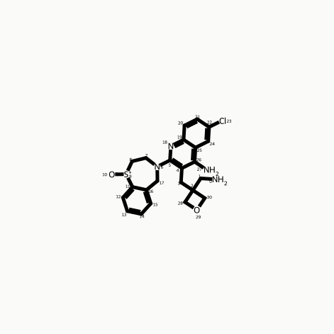 NCC1(Cc2c(N3CC[S+]([O-])c4ccccc4C3)nc3ccc(Cl)cc3c2N)COC1